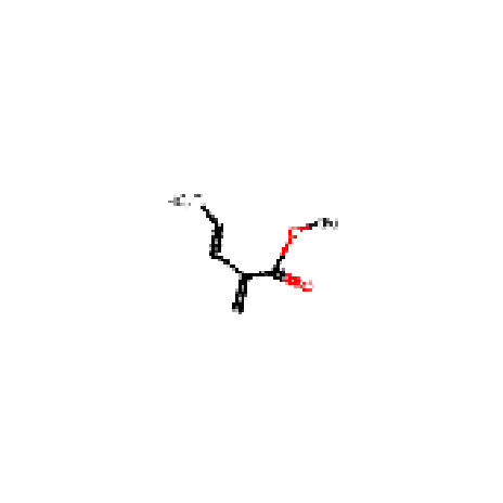 C=C(C=CC(=O)O)C(=O)OC(C)(C)C